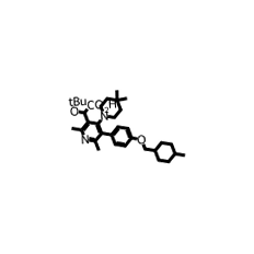 Cc1nc(C)c(C(OC(C)(C)C)C(=O)O)c(N2CCC(C)(C)CC2)c1-c1ccc(OCC2CCC(C)CC2)cc1